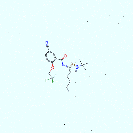 CCCCc1cn(C(C)(C)C)sc1=NC(=O)c1cc(C#N)ccc1OCC(F)(F)F